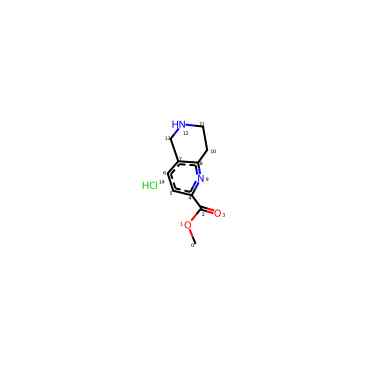 COC(=O)c1ccc2c(n1)CCNC2.Cl